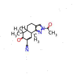 CC(=O)n1cc2c(n1)[C@@]1(C)C=C(C#N)C(=O)C(C)(C)[C@@H]1CC2